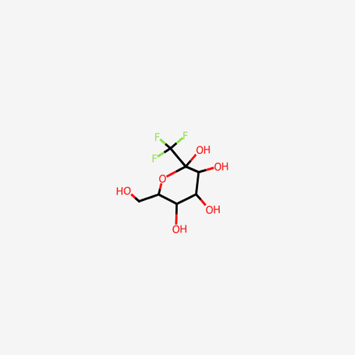 OCC1OC(O)(C(F)(F)F)C(O)C(O)C1O